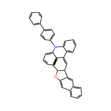 C1=CC2Oc3cc4ccccc4cc3C2C=C1c1ccccc1N(c1ccccc1)c1ccc(-c2ccccc2)cc1